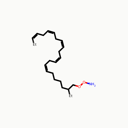 CC/C=C\C/C=C\C/C=C\C/C=C\C/C=C\CCCCC(CC)COON